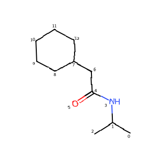 CC(C)NC(=O)CC1CCCCC1